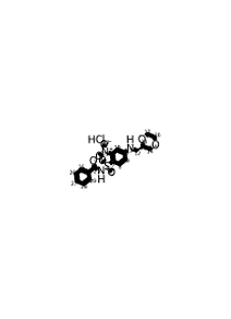 Cl.O=C(NS(=O)(=O)c1ccc(NC[C@@H]2COCCO2)cc1[N+](=O)[O-])c1ccccc1